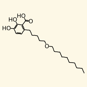 CCCCCCCCCCOCCCCCc1ccc(O)c(O)c1C(=O)O